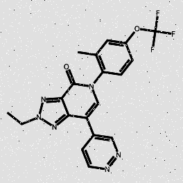 CCn1nc2c(-c3ccnnc3)cn(-c3ccc(OC(F)(F)F)cc3C)c(=O)c2n1